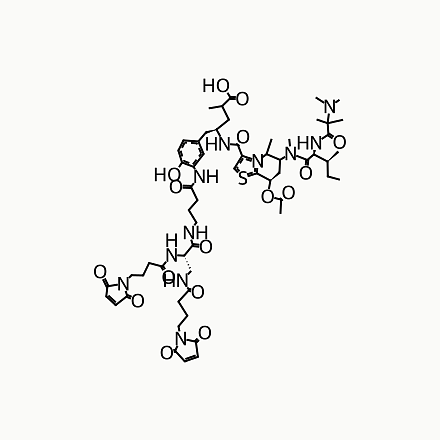 CC[C@H](C)[C@H](NC(=O)C(C)(C)N(C)C)C(=O)N(C)C(C[C@@H](OC(C)=O)c1nc(C(=O)N[C@@H](Cc2ccc(O)c(NC(=O)CCCNC(=O)[C@H](CNC(=O)CCCN3C(=O)C=CC3=O)NC(=O)CCCN3C(=O)C=CC3=O)c2)CC(C)C(=O)O)cs1)C(C)C